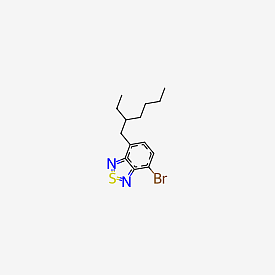 CCCCC(CC)Cc1ccc(Br)c2nsnc12